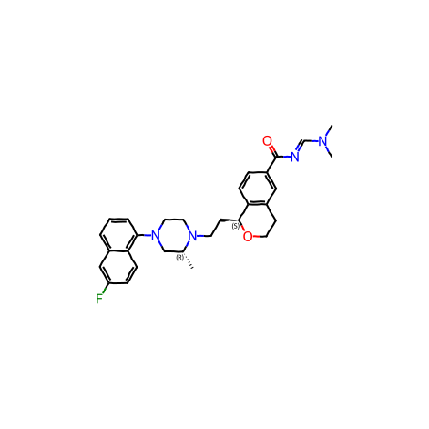 C[C@@H]1CN(c2cccc3cc(F)ccc23)CCN1CC[C@@H]1OCCc2cc(C(=O)N=CN(C)C)ccc21